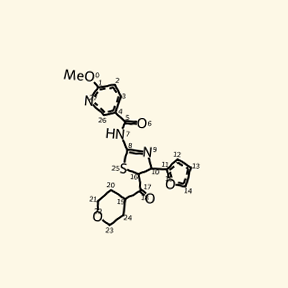 COc1ccc(C(=O)NC2=NC(c3ccco3)C(C(=O)C3CCOCC3)S2)cn1